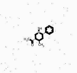 CC(=O)[C@@H]1CN(S)[C@H](c2ccccc2)C[C@H]1C